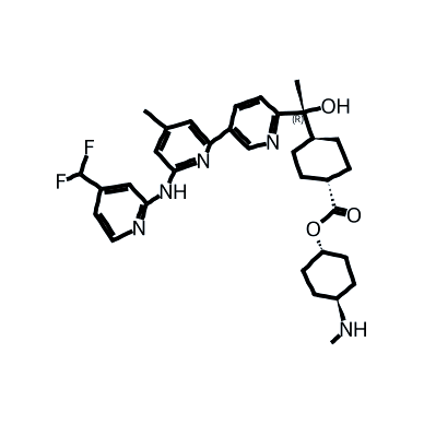 CN[C@H]1CC[C@H](OC(=O)[C@H]2CC[C@H]([C@@](C)(O)c3ccc(-c4cc(C)cc(Nc5cc(C(F)F)ccn5)n4)cn3)CC2)CC1